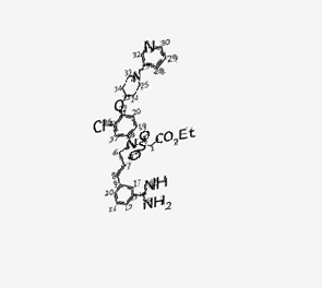 CCOC(=O)CS(=O)(=O)N(C/C=C/c1cccc(C(=N)N)c1)c1ccc(OC2CCN(c3cccnc3)CC2)c(Cl)c1